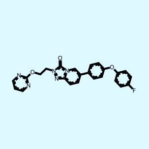 O=c1n(CCOc2ncccn2)nc2ccc(-c3ccc(Oc4ccc(F)cc4)cc3)cn12